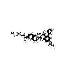 COCCNc1ccc2c(n1)CCN(c1nc3cc(OC)cc(C4CCCO4)c3c(=O)[nH]1)C2